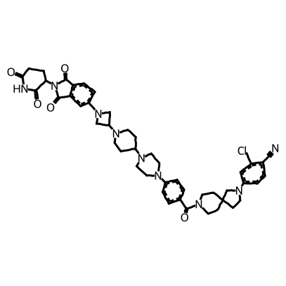 N#Cc1ccc(N2CCC3(CCN(C(=O)c4ccc(N5CCN(C6CCN(C7CN(c8ccc9c(c8)C(=O)N(C8CCC(=O)NC8=O)C9=O)C7)CC6)CC5)cc4)CC3)C2)cc1Cl